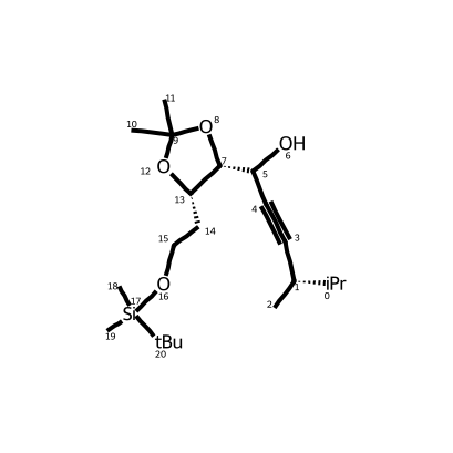 CC(C)[C@H](C)C#CC(O)[C@H]1OC(C)(C)O[C@H]1CCO[Si](C)(C)C(C)(C)C